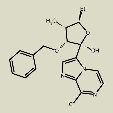 CC[C@H]1O[C@@](O)(c2cnc3c(Cl)nccn23)[C@H](OCc2ccccc2)[C@@H]1C